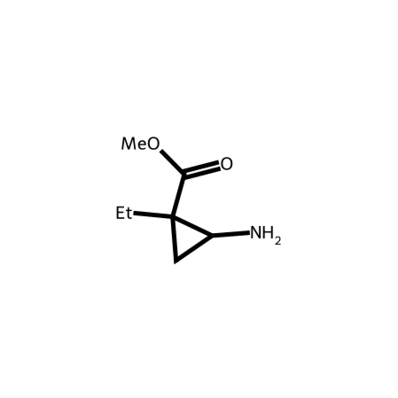 CCC1(C(=O)OC)CC1N